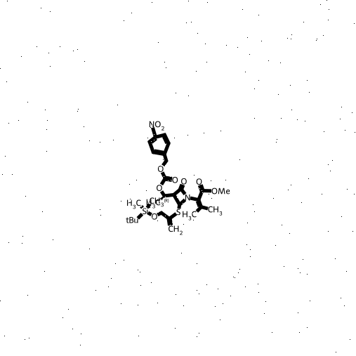 C=C(CO[Si](C)(C)C(C)(C)C)SC1C([C@@H](C)OC(=O)OCc2ccc([N+](=O)[O-])cc2)C(=O)N1C(C(=O)OC)=C(C)C